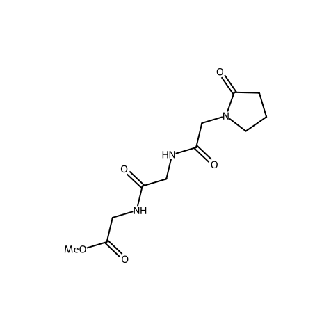 COC(=O)CNC(=O)CNC(=O)CN1CCCC1=O